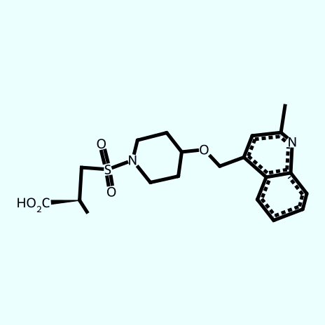 Cc1cc(COC2CCN(S(=O)(=O)C[C@@H](C)C(=O)O)CC2)c2ccccc2n1